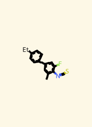 CCc1ccc(-c2cc(C)c(N=C=S)c(F)c2)cc1